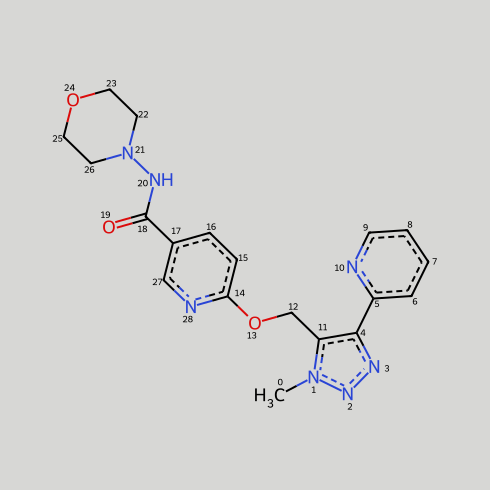 Cn1nnc(-c2ccccn2)c1COc1ccc(C(=O)NN2CCOCC2)cn1